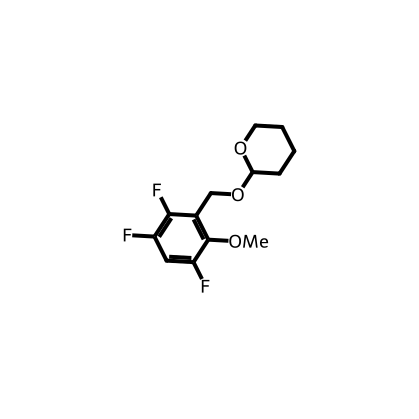 COc1c(F)cc(F)c(F)c1COC1CCCCO1